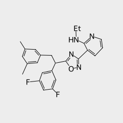 CCNc1ncccc1-c1noc(C(Cc2cc(C)cc(C)c2)c2cc(F)cc(F)c2)n1